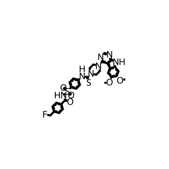 COc1cc2[nH]c3ncnc(N4CCN(C(=S)Nc5ccc(S(=O)(=O)NC(=O)c6ccc(CF)cc6)cc5)CC4)c3c2cc1OC